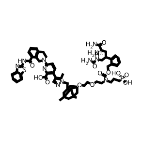 Cc1c(-c2ccc(N3CCc4cccc(C(=O)Nc5nc6ccccc6s5)c4C3)nc2C(=O)O)cnn1CC12CC3(C)CC(C)(C1)CC(OCCOCCN(CCCP(=O)(O)O)C(=O)OCc1ccccc1C(CNC(N)=O)C[C@H](N)C(N)=O)(C3)C2